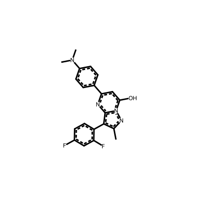 Cc1nn2c(O)cc(-c3ccc(N(C)C)cc3)nc2c1-c1ccc(F)cc1F